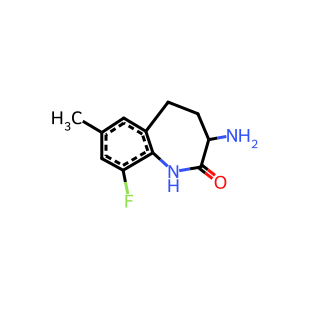 Cc1cc(F)c2c(c1)CCC(N)C(=O)N2